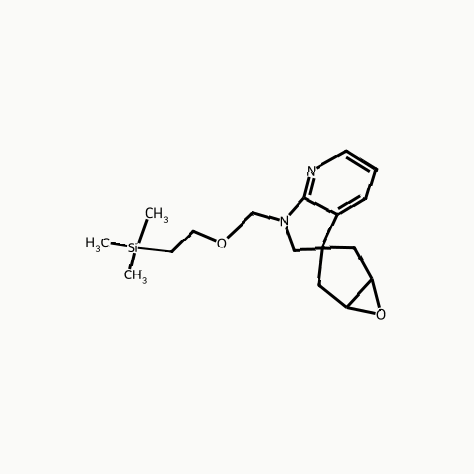 C[Si](C)(C)CCOCN1CC2(CC3OC3C2)c2cccnc21